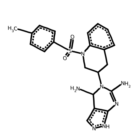 Cc1ccc(S(=O)(=O)N2CC(N3C(N)=Nc4[nH]ncc4C3N)Cc3ccccc32)cc1